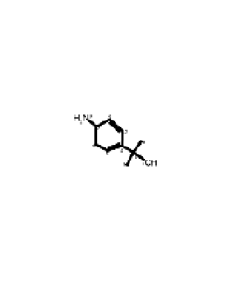 CC(C)(O)C1=CCC(N)C=C1